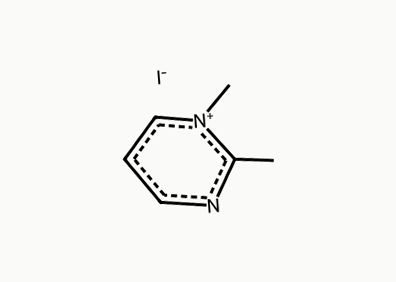 Cc1nccc[n+]1C.[I-]